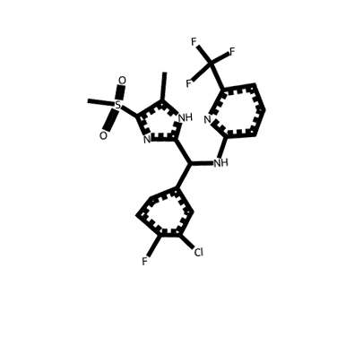 Cc1[nH]c(C(Nc2cccc(C(F)(F)F)n2)c2ccc(F)c(Cl)c2)nc1S(C)(=O)=O